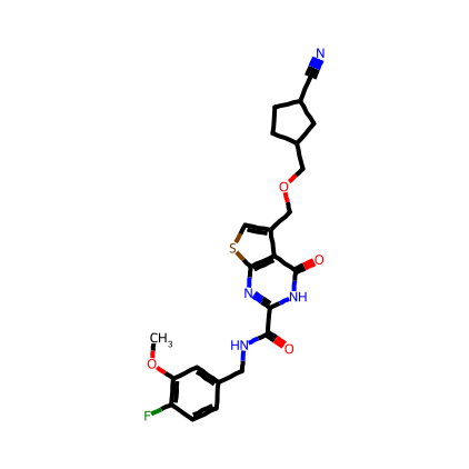 COc1cc(CNC(=O)c2nc3scc(COCC4CCC(C#N)C4)c3c(=O)[nH]2)ccc1F